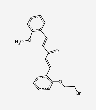 COc1ccccc1C=CC(=O)C=Cc1ccccc1OCCBr